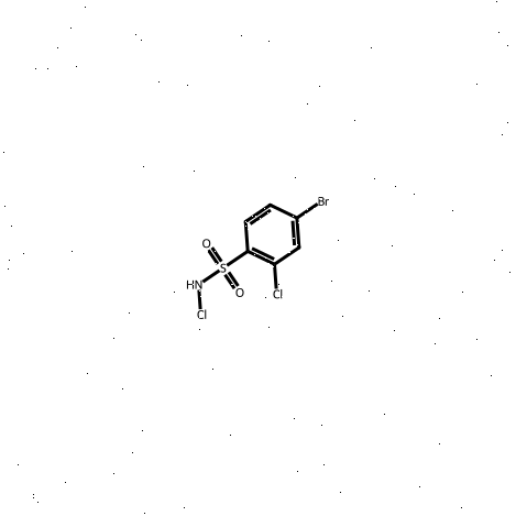 O=S(=O)(NCl)c1ccc(Br)cc1Cl